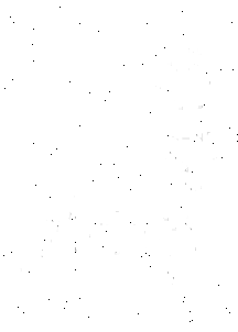 Cn1nc(C(F)(F)F)cc1-c1ccc(S(=O)(=O)C(N)CN2CCN(c3nc(Cc4ccc(Cl)cc4)ns3)CC2)s1